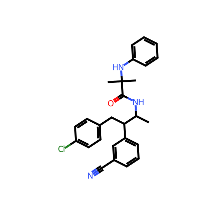 CC(NC(=O)C(C)(C)Nc1ccccc1)C(Cc1ccc(Cl)cc1)c1cccc(C#N)c1